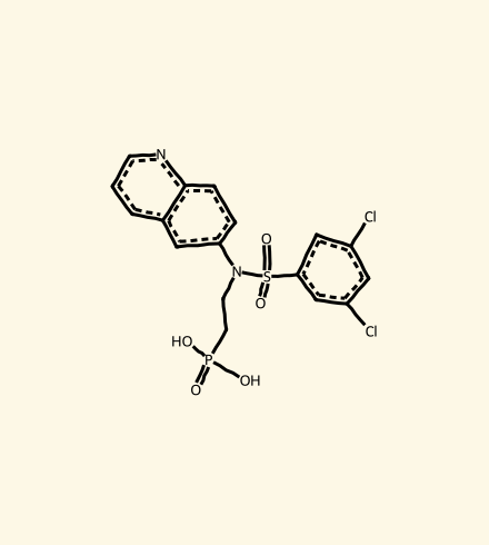 O=P(O)(O)CCN(c1ccc2ncccc2c1)S(=O)(=O)c1cc(Cl)cc(Cl)c1